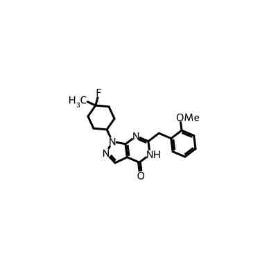 COc1ccccc1Cc1nc2c(cnn2C2CCC(C)(F)CC2)c(=O)[nH]1